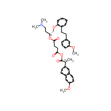 COc1cccc(CCc2ccccc2OC[C@@H](CCN(C)C)OC(=O)CCC(=O)OC(=O)[C@@H](C)c2ccc3cc(OC)ccc3c2)c1